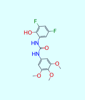 COc1cc(NC(=O)Nc2cc(F)cc(F)c2O)cc(OC)c1OC